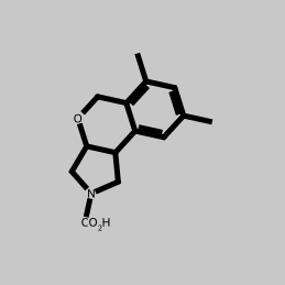 Cc1cc(C)c2c(c1)C1CN(C(=O)O)CC1OC2